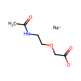 CC(=O)NCCOCC(=O)[O-].[Na+]